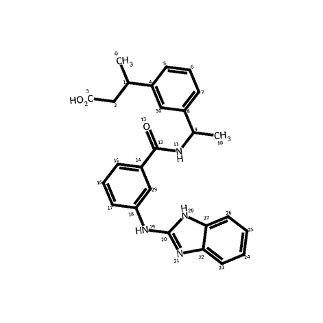 CC(CC(=O)O)c1cccc(C(C)NC(=O)c2cccc(Nc3nc4ccccc4[nH]3)c2)c1